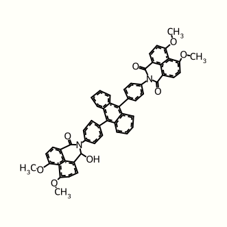 COc1ccc2c3c(ccc(OC)c13)C(=O)N(c1ccc(-c3c4ccccc4c(-c4ccc(N5C(=O)c6ccc(OC)c7c(OC)ccc(c67)C5O)cc4)c4ccccc34)cc1)C2=O